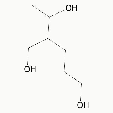 CC(O)C(CO)CCCO